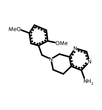 COc1ccc(OC)c(CN2CCc3c(N)ncnc3C2)c1